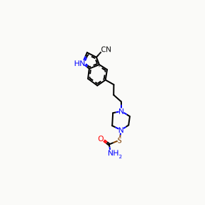 N#Cc1c[nH]c2ccc(CCCN3CCN(SC(N)=O)CC3)cc12